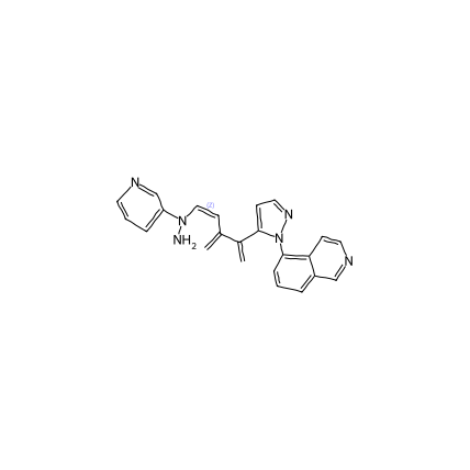 C=C(/C=C\N(N)c1cccnc1)C(=C)c1ccnn1-c1cccc2cnccc12